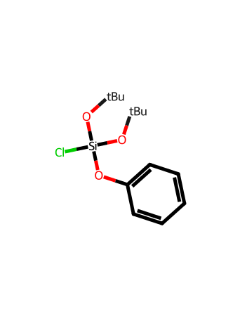 CC(C)(C)O[Si](Cl)(Oc1ccccc1)OC(C)(C)C